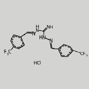 Cl.N=C(NN=Cc1ccc(C(F)(F)F)cc1)NN=Cc1ccc(C(F)(F)F)cc1